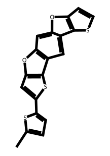 Cc1ccc(-c2cc3oc4cc5oc6ccsc6c5cc4c3s2)s1